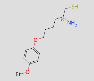 CCOc1ccc(OCCCC[C@@H](N)CS)cc1